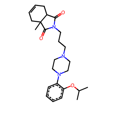 CC(C)Oc1ccccc1N1CCN(CCCN2C(=O)C3CC=CCC3(C)C2=O)CC1